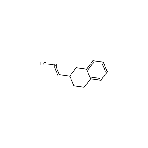 ON=CC1CCc2ccccc2C1